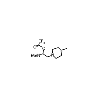 CNC(CN1CCN(C)CC1)OC(=O)C(F)(F)F